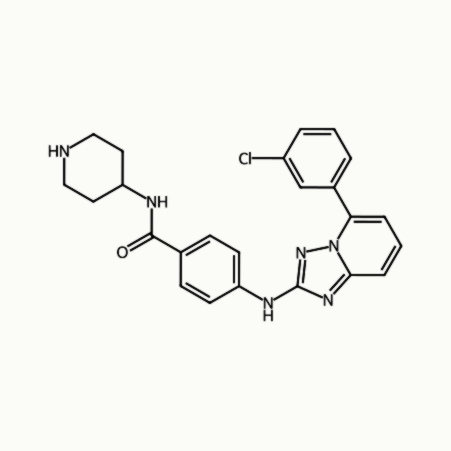 O=C(NC1CCNCC1)c1ccc(Nc2nc3cccc(-c4cccc(Cl)c4)n3n2)cc1